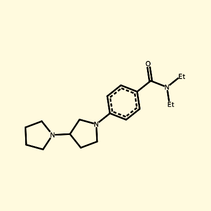 CCN(CC)C(=O)c1ccc(N2CCC(N3CCCC3)C2)cc1